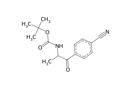 CC(NC(=O)OC(C)(C)C)C(=O)c1ccc(C#N)cc1